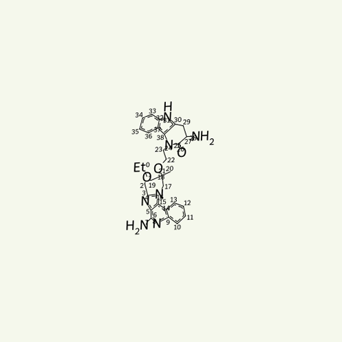 CCOCc1nc2c(N)nc3ccccc3c2n1CC(C)(C)OCCN1C(=O)C(N)Cc2[nH]c3ccccc3c21